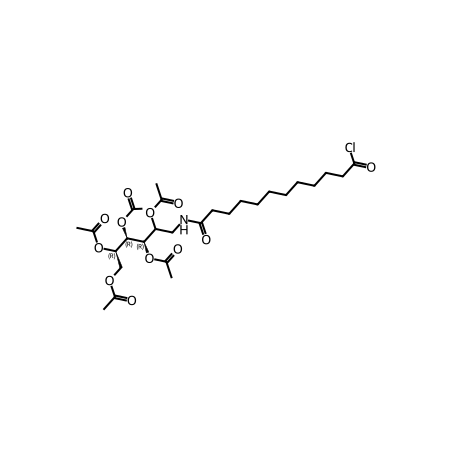 CC(=O)OC[C@@H](OC(C)=O)[C@@H](OC(C)=O)[C@H](OC(C)=O)C(CNC(=O)CCCCCCCCCCC(=O)Cl)OC(C)=O